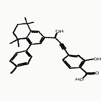 Cc1ccc(-c2cc(C(O)C#Cc3ccc(C(=O)O)c(O)c3)cc3c2C(C)(C)CCC3(C)C)cc1